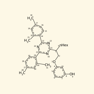 CCCCCCC(COc1cccc(O)c1)c1nc(-c2ccc(C)cc2C)nc(-c2ccc(C)cc2C)n1